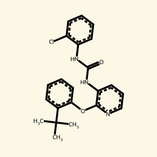 CC(C)(C)c1ccccc1Oc1ncccc1NC(=O)Nc1ccccc1Cl